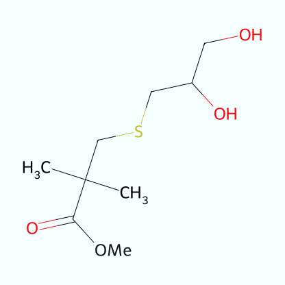 COC(=O)C(C)(C)CSCC(O)CO